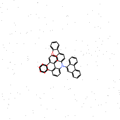 c1ccc(-c2ccccc2-c2c(-c3ccccc3)cccc2N(c2ccc3c(c2)oc2ccccc23)c2cc3ccccc3c3ccccc23)cc1